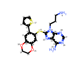 NCCCn1c(Sc2cc3c(cc2-c2cccs2)OCCO3)nc2c(N)ncnc21